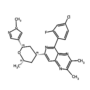 Cc1nc2cc([C@H]3C[C@@H](c4cnn(C)c4)O[C@@H](C)C3)nc(-c3ccc(Cl)cc3F)c2nc1C